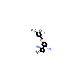 C=C/C=C\C(=C/C=C)COc1ccc(N)c(C2CCC(=C)C2=N)c1